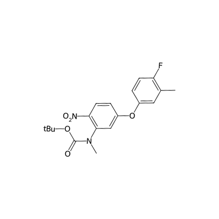 Cc1cc(Oc2ccc([N+](=O)[O-])c(N(C)C(=O)OC(C)(C)C)c2)ccc1F